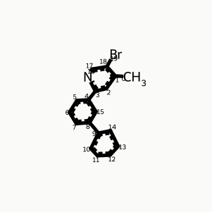 Cc1cc(-c2cccc(-c3ccccc3)c2)ncc1Br